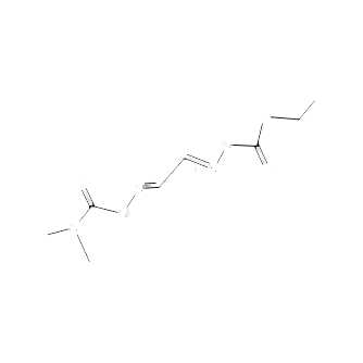 CCOC(=S)N/N=C/C=N/NC(=S)N(C)C